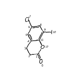 O=C1CCc2cc(Cl)cc(I)c2O1